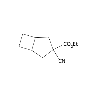 CCOC(=O)C1(C#N)CC2CCC2C1